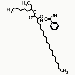 CCCCCCCCCCCCCCCCC(O)C(=O)OC(CC)CCCCC.O=C(O)c1ccccc1